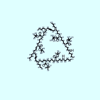 CCCCNCCCN(CCCCN(CCCN(CC#CCN(CCCC)CCCN(CCCCN(CCCN(CC#CCN(CCCC)CCCN(CCCCN(CCCNCCCC)C(=O)OC(C)(C)C)C(=O)OC(C)(C)C)CCCC)C(=O)OC(C)(C)C)C(=O)OC(C)(C)C)CCCC)C(=O)OC(C)(C)C)C(=O)OC(C)(C)C